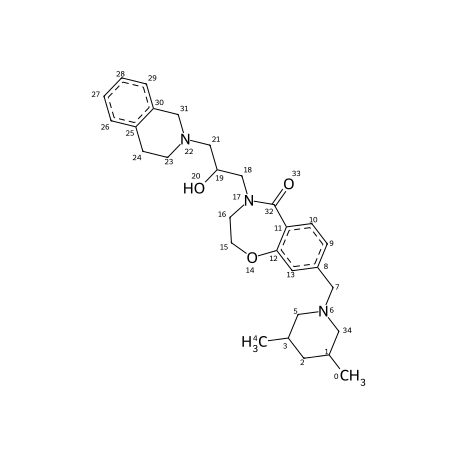 CC1CC(C)CN(Cc2ccc3c(c2)OCCN(CC(O)CN2CCc4ccccc4C2)C3=O)C1